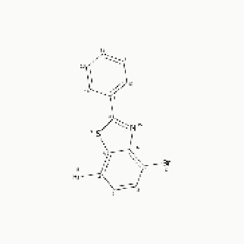 Brc1ccc(Br)c2sc(-c3ccccc3)nc12